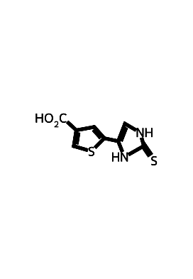 O=C(O)c1csc(-c2c[nH]c(=S)[nH]2)c1